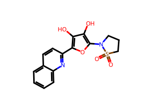 O=S1(=O)CCCN1c1oc(-c2ccc3ccccc3n2)c(O)c1O